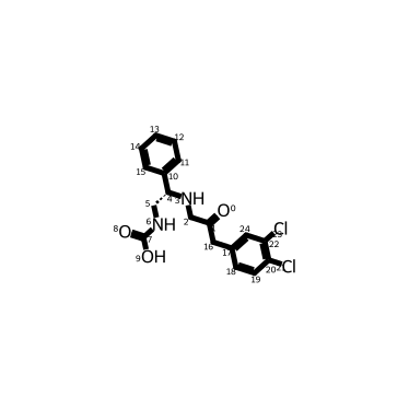 O=C(CN[C@H](CNC(=O)O)c1ccccc1)Cc1ccc(Cl)c(Cl)c1